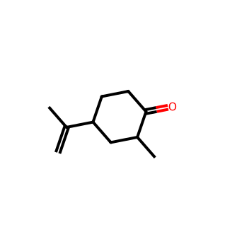 C=C(C)C1CCC(=O)C(C)C1